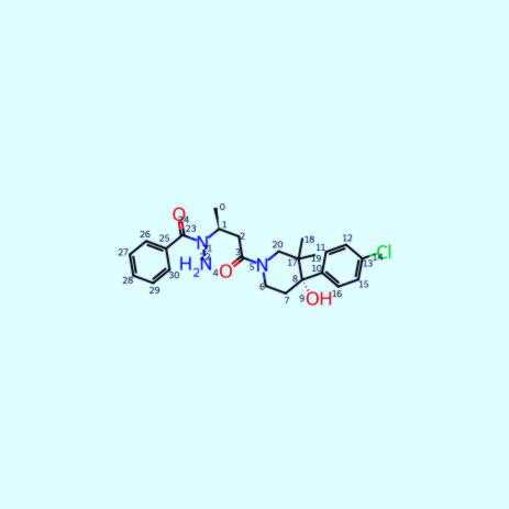 C[C@@H](CC(=O)N1CC[C@](O)(c2ccc(Cl)cc2)C(C)(C)C1)N(N)C(=O)c1ccccc1